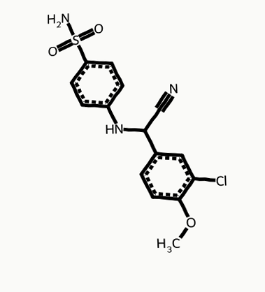 COc1ccc(C(C#N)Nc2ccc(S(N)(=O)=O)cc2)cc1Cl